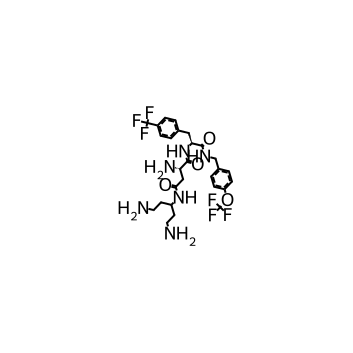 NCCC(CCN)NC(=O)C[C@H](N)C(=O)N[C@@H](Cc1ccc(C(F)(F)F)cc1)C(=O)NCc1ccc(OC(F)(F)F)cc1